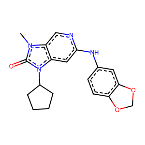 Cn1c(=O)n(C2CCCC2)c2cc(Nc3ccc4c(c3)OCO4)ncc21